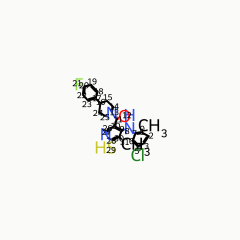 Cc1ccc(Cl)cc1Nc1c(C(=O)N2CCC(c3ccc(F)cc3)CC2)cnc(S)c1C